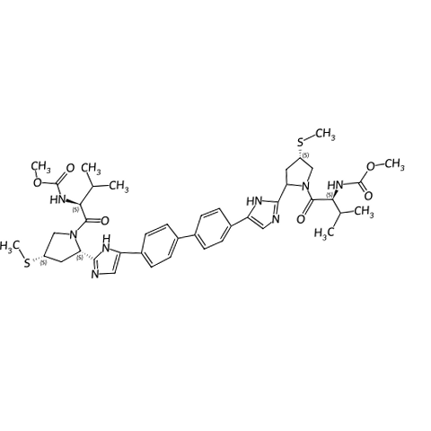 COC(=O)N[C@H](C(=O)N1C[C@@H](SC)CC1c1ncc(-c2ccc(-c3ccc(-c4cnc([C@@H]5C[C@H](SC)CN5C(=O)[C@@H](NC(=O)OC)C(C)C)[nH]4)cc3)cc2)[nH]1)C(C)C